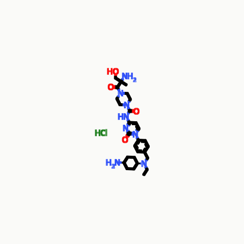 CCN(Cc1ccc(-n2ccc(NC(=O)N3CCN(C(=O)C(C)(N)CO)CC3)nc2=O)cc1)[C@H]1CC[C@H](N)CC1.Cl